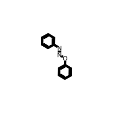 c1ccc(N=NOc2ccccc2)cc1